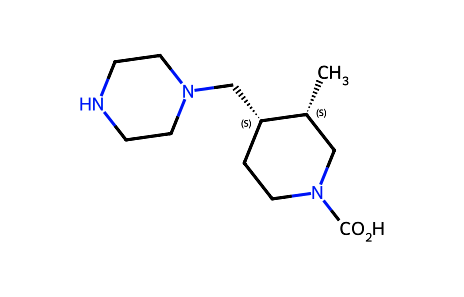 C[C@@H]1CN(C(=O)O)CC[C@@H]1CN1CCNCC1